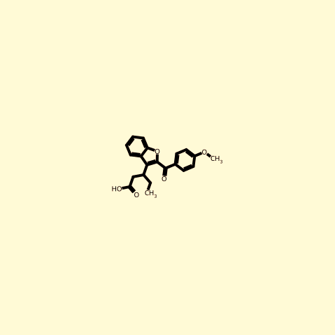 CCC(CC(=O)O)c1c(C(=O)c2ccc(OC)cc2)oc2ccccc12